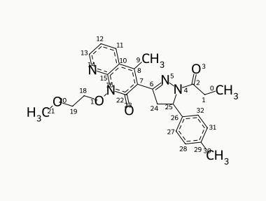 CCC(=O)N1N=C(c2c(C)c3cccnc3n(OCCOC)c2=O)CC1c1ccc(C)cc1